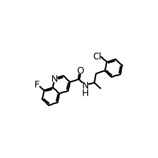 CC(Cc1ccccc1Cl)NC(=O)c1cnc2c(F)cccc2c1